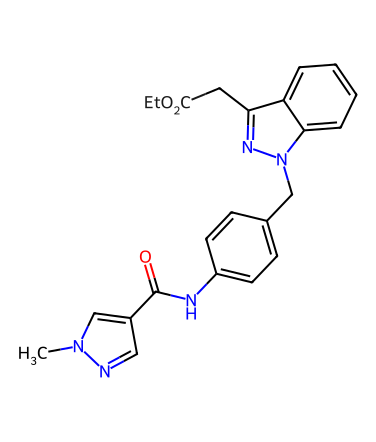 CCOC(=O)Cc1nn(Cc2ccc(NC(=O)c3cnn(C)c3)cc2)c2ccccc12